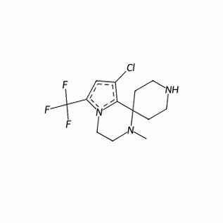 CN1CCn2c(C(F)(F)F)cc(Cl)c2C12CCNCC2